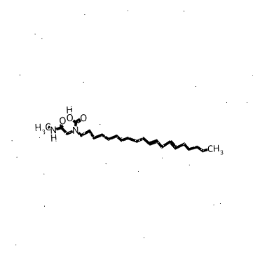 CCCCCC=CCC=CCCCCCCCCCCN(CC(=O)NC)C(=O)O